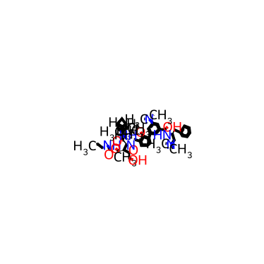 CCCNC(=O)O[C@@H](C)[C@H]1[C@H](CO)ON(Cc2cccc(-c3cc(C(O)N[C@@H](Cc4ccccc4)CN(C)C)cc(N(C)C)c3)c2OC)[C@@H]1C(=O)N[C@H]1C[C@H]2C[C@@H]([C@@H]1C)C2(C)C